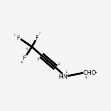 O=[C]NC#CC(F)(F)F